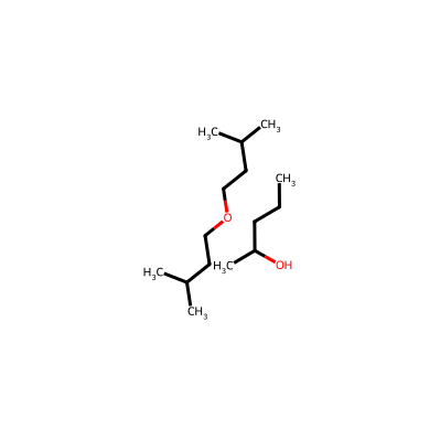 CC(C)CCOCCC(C)C.CCCC(C)O